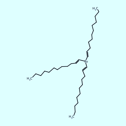 CCCCCCCCCCC=[CH][Ru]([CH]=CCCCCCCCCCC)[CH]=CCCCCCCCCCC